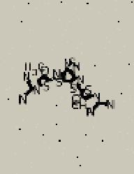 COc1cc(N=C(C#N)C#N)sc1-c1nc2c3nsnc3c3nc(-c4sc(N=C(C#N)C#N)cc4OC)sc3c2s1